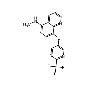 CNc1ccc(Oc2cnc(C(F)(F)F)nc2)c2ncccc12